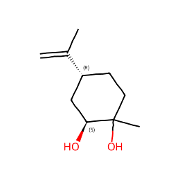 C=C(C)[C@@H]1CCC(C)(O)[C@@H](O)C1